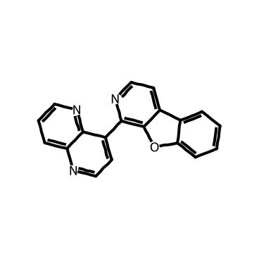 c1cnc2c(-c3nccc4c3oc3ccccc34)ccnc2c1